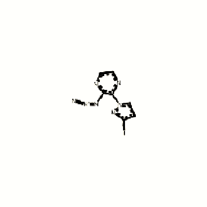 [N-]=[N+]=Nc1nccnc1-n1ccc(I)n1